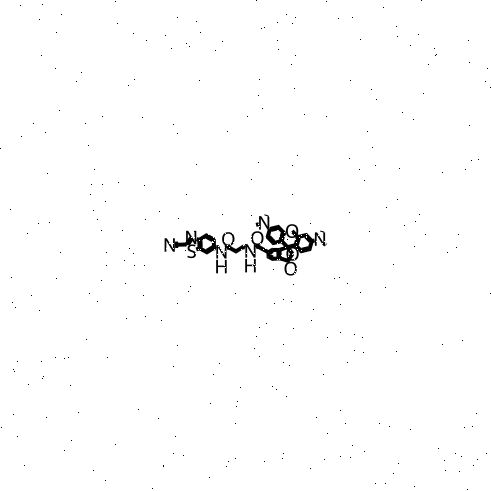 CN(C)c1ccc2c(c1)Oc1cc(N(C)C)ccc1C21OC(=O)c2ccc(C(=O)NCCC(=O)Nc3ccc4nc(C#N)sc4c3)cc21